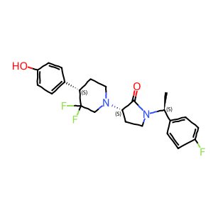 C[C@@H](c1ccc(F)cc1)N1CC[C@H](N2CC[C@@H](c3ccc(O)cc3)C(F)(F)C2)C1=O